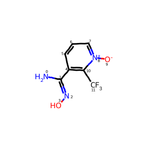 N/C(=N\O)c1ccc[n+]([O-])c1C(F)(F)F